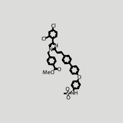 COC(=O)c1ccc(Cn2cc(-c3ccc(Cl)cc3Cl)nc2/C=C/c2ccc(-c3ccc(Oc4ccc(NS(C)(=O)=O)cc4)cc3)cc2)cc1